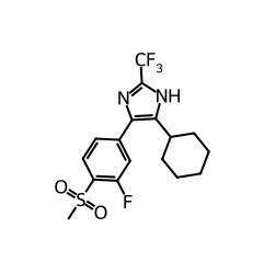 CS(=O)(=O)c1ccc(-c2nc(C(F)(F)F)[nH]c2C2CCCCC2)cc1F